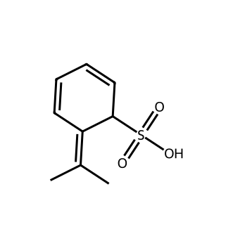 CC(C)=C1C=CC=CC1S(=O)(=O)O